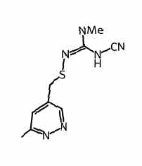 CNC(=NSCc1cnnc(C)c1)NC#N